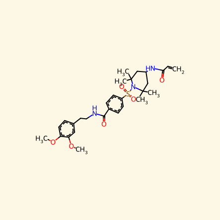 C=CC(=O)NC1CC(C)(C)N(S(=O)(=O)c2ccc(C(=O)NCCc3ccc(OC)c(OC)c3)cc2)C(C)(C)C1